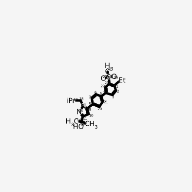 CCc1ccc(-c2ccc(-c3cc(C(C)(C)O)nn3CC(C)C)cc2)cc1S(C)(=O)=O